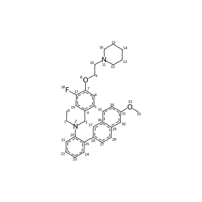 CCN(Cc1ccc(OCCN2CCCCC2)c(F)c1)c1ccccc1-c1ccc2cc(OC)ccc2c1